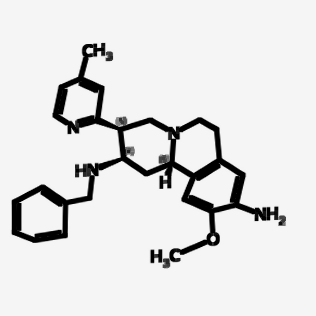 COc1cc2c(cc1N)CCN1C[C@H](c3cc(C)ccn3)[C@H](NCc3ccccc3)C[C@@H]21